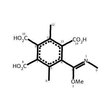 CN=C(OC)c1c(C)c(C(=O)O)c(C(=O)O)c(C)c1C(=O)O